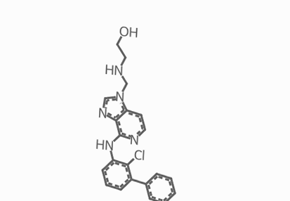 OCCNCn1cnc2c(Nc3cccc(-c4ccccc4)c3Cl)nccc21